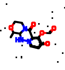 CC1OCCN2C(=O)c3c(OC=O)c(=O)ccn3NC12